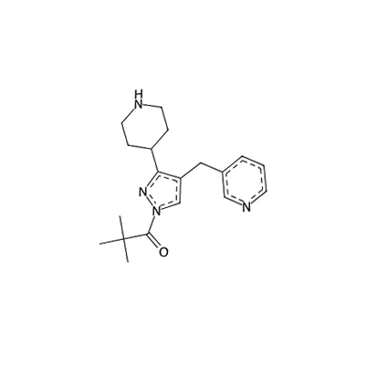 CC(C)(C)C(=O)n1cc(Cc2cccnc2)c(C2CCNCC2)n1